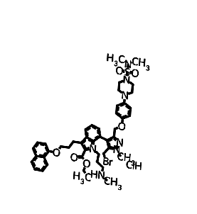 CCOC(=O)c1c(CCCOc2cccc3ccccc23)c2cccc(-c3c(COc4ccc(N5CCN(S(=O)(=O)N(C)C)CC5)cc4)nn(C)c3CBr)c2n1CCCNC.Cl